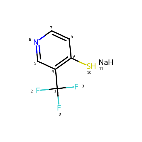 FC(F)(F)c1cnccc1S.[NaH]